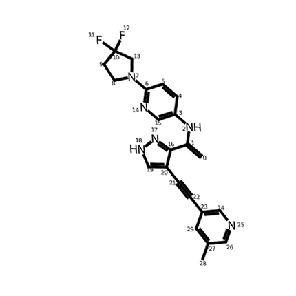 C=C(Nc1ccc(N2CCC(F)(F)C2)nc1)c1n[nH]cc1C#Cc1cncc(C)c1